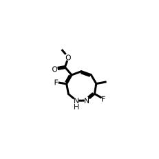 COC(=O)C1=C(\F)CN/N=C(/F)C(C)/C=C\1